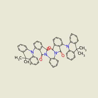 CC1(C)c2ccccc2N(c2cccc3c2C(=O)N(c2ccccc2N2C(=O)c4cccc(N5c6ccccc6C(C)(C)c6ccccc65)c4C2=O)C3=O)c2ccccc21